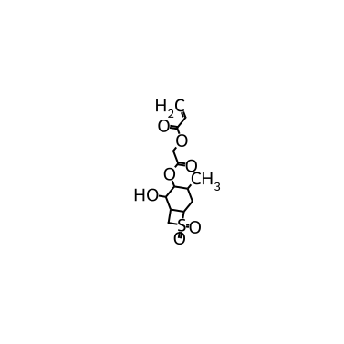 C=CC(=O)OCC(=O)OC1C(C)CC2C(CS2(=O)=O)C1O